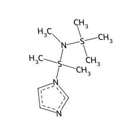 CN(S(C)(C)C)S(C)(C)n1ccnc1